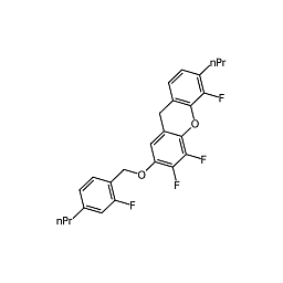 CCCc1ccc(COc2cc3c(c(F)c2F)Oc2c(ccc(CCC)c2F)C3)c(F)c1